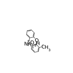 Cc1ccccc1Oc1ccccc1S(=O)(=O)O.N